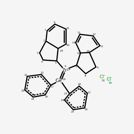 C1=CC2CC[CH]([Zr+2]([CH]3CCC4C=CC=CC43)=[Ge]([c]3ccccc3)[c]3ccccc3)C2C=C1.[Cl-].[Cl-]